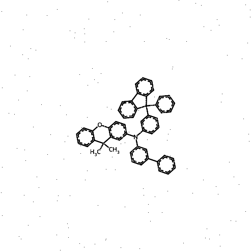 CC1(C)c2ccccc2Oc2ccc(N(c3cccc(-c4ccccc4)c3)c3cccc(C4(c5ccccc5)c5ccccc5-c5ccccc54)c3)cc21